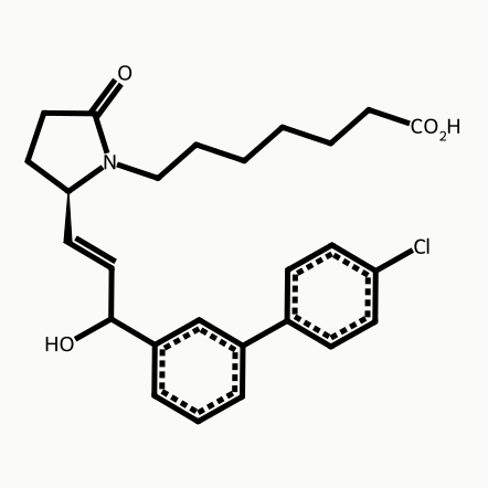 O=C(O)CCCCCCN1C(=O)CC[C@@H]1C=CC(O)c1cccc(-c2ccc(Cl)cc2)c1